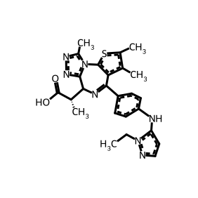 CCn1nccc1Nc1ccc(C2=NC([C@H](C)C(=O)O)c3nnc(C)n3-c3sc(C)c(C)c32)cc1